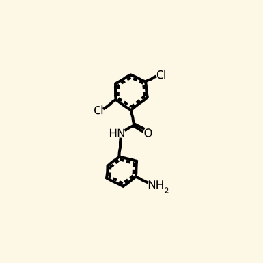 Nc1cccc(NC(=O)c2cc(Cl)ccc2Cl)c1